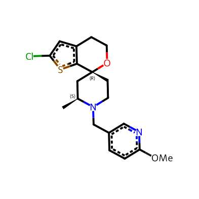 COc1ccc(CN2CC[C@]3(C[C@@H]2C)OCCc2cc(Cl)sc23)cn1